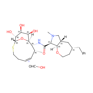 CC(C)C[C@@H]1CCO[C@@H]2[C@@H](C1)CN(C)[C@@H]2C(=O)N[C@H]1[C@H]2O[C@H](SCC/C=C\[C@H]1C)[C@H](O)[C@@H](O)[C@H]2O.O=CO